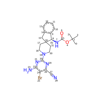 CC(C)(C)OC(=O)N[C@@H]1c2ccccc2CC12CCN(c1nc(N)c(Br)c(C#N)n1)CC2